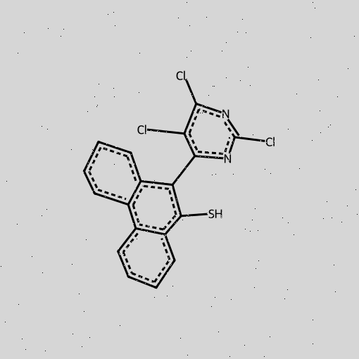 Sc1c(-c2nc(Cl)nc(Cl)c2Cl)c2ccccc2c2ccccc12